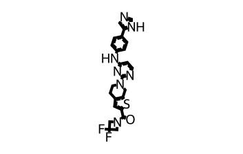 O=C(c1cc2c(s1)CN(c1nccc(Nc3ccc(-c4cnc[nH]4)cc3)n1)CC2)N1CC(F)(F)C1